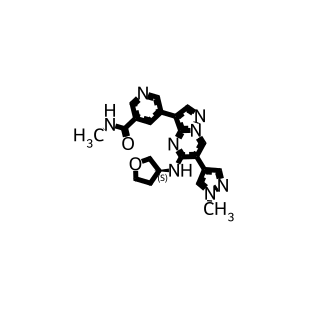 CNC(=O)c1cncc(-c2cnn3cc(-c4cnn(C)c4)c(N[C@H]4CCOC4)nc23)c1